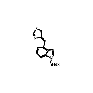 CCCCCCn1ccc2c(/C=C3/CSC=N3)cccc21